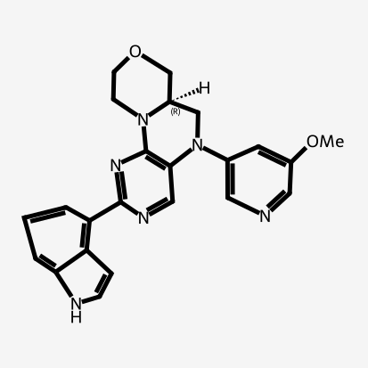 COc1cncc(N2C[C@@H]3COCCN3c3nc(-c4cccc5[nH]ccc45)ncc32)c1